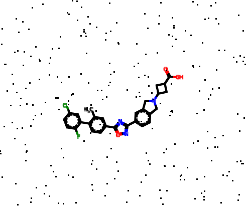 Cc1cc(-c2nc(-c3ccc4c(c3)CN(C3CC(C(=O)O)C3)C4)no2)ccc1-c1cc(Cl)ccc1F